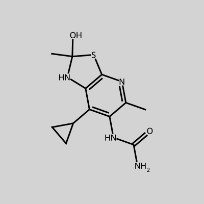 Cc1nc2c(c(C3CC3)c1NC(N)=O)NC(C)(O)S2